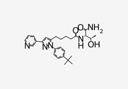 C[C@@H](O)[C@H](NC(=O)CCCCc1cc(-c2cccnc2)nn1-c1ccc(C(C)(C)C)cc1)C(N)=O